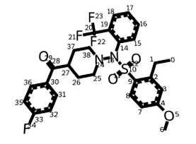 CCc1cc(OC)ccc1S(=O)(=O)N(c1ccccc1C(F)(F)F)N1CCC(C(=O)c2ccc(F)cc2)CC1